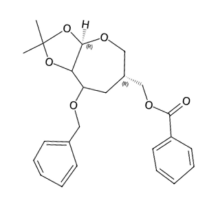 CC1(C)OC2C(OCc3ccccc3)C[C@@H](COC(=O)c3ccccc3)CO[C@@H]2O1